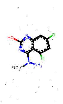 CCOC(=O)N(N)c1nc(O)nc2cc(Cl)cc(Cl)c12